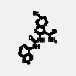 CCN1CCc2c(sc(NC(=O)Nc3cccc4nsnc34)c2C(N)=O)C1